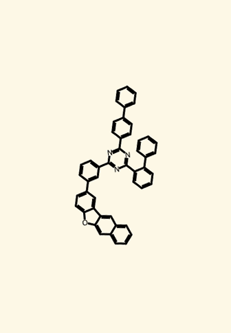 c1ccc(-c2ccc(-c3nc(-c4cccc(-c5ccc6oc7cc8ccccc8cc7c6c5)c4)nc(-c4ccccc4-c4ccccc4)n3)cc2)cc1